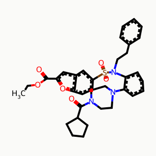 CCOC(=O)c1cc2cc(S(=O)(=O)N(CCc3ccccc3)c3ccccc3N3CCN(C(=O)C4CCCC4)CC3)ccc2o1